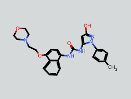 Cc1ccc(-n2nc(O)cc2NC(=O)Nc2ccc(OCCN3CCOCC3)c3ccccc23)cc1